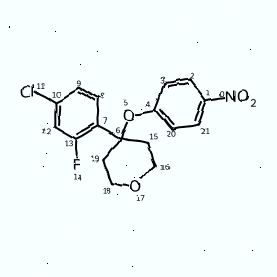 O=[N+]([O-])c1ccc(OC2(c3ccc(Cl)cc3F)CCOCC2)cc1